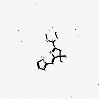 COC(OC)C1=N/C(=C\c2ccc[nH]2)C(C)(C)C1